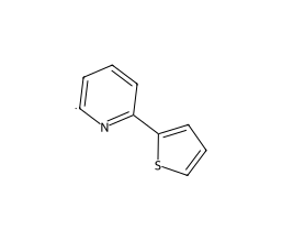 [c]1cccc(-c2cccs2)n1